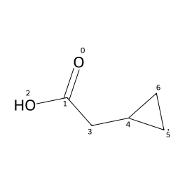 O=C(O)CC1[CH]C1